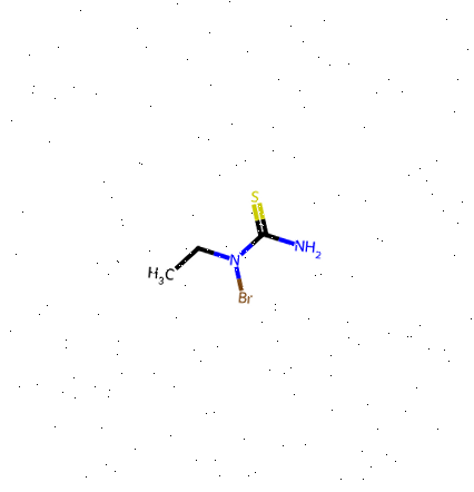 CCN(Br)C(N)=S